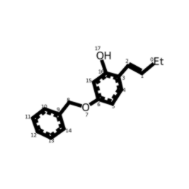 CCC=Cc1ccc(OCc2ccccc2)cc1O